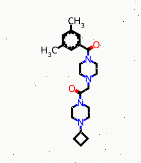 Cc1cc(C)cc(C(=O)N2CCN(CC(=O)N3CCN(C4CCC4)CC3)CC2)c1